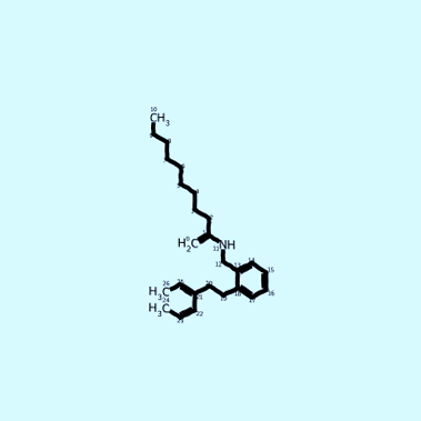 C=C(CCCCCCCCC)NCc1ccccc1CCC(/C=C\C)=C/C